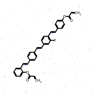 C=CC(=O)Oc1ccc(/C=C/c2ccc(/C=C/c3ccc(/C=C/c4ccccc4OC(=O)C=C)cc3)cc2F)cc1